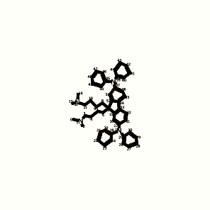 CN(C)CCCCC1(CCCCN(C)C)c2cc(N(c3ccccc3)c3ccccc3)ccc2-c2ccc(N(c3ccccc3)c3ccccc3)cc21